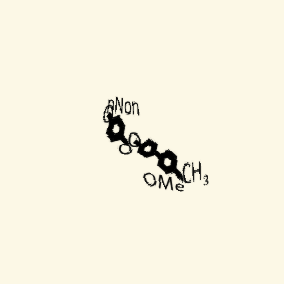 CCCCCCCCCOc1ccc(C(=O)Oc2ccc(-c3ccc(C(C)OC)cc3)cc2)cc1